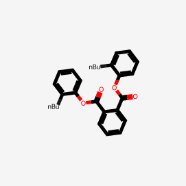 CCCCc1ccccc1OC(=O)c1ccccc1C(=O)Oc1ccccc1CCCC